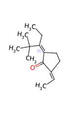 CC=C1CC/C(=C(\CC)C(C)(C)C)C1=O